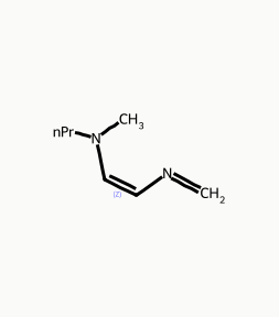 C=N/C=C\N(C)CCC